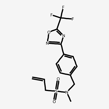 C=CCS(=O)(=O)N(C)Cc1ccc(-c2noc(C(F)(F)F)n2)cc1